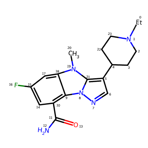 CCN1CCC(c2cnn3c4c(C(N)=O)cc(F)cc4n(C)c23)CC1